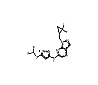 FC(F)Oc1cc(Nc2cnc3cnn(CC4CC4(F)F)c3n2)n[nH]1